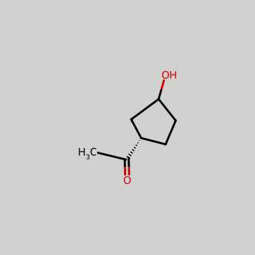 CC(=O)[C@H]1CCC(O)C1